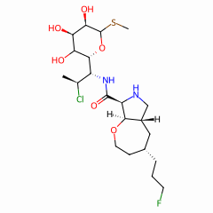 CSC1O[C@H]([C@H](NC(=O)[C@H]2NC[C@@H]3C[C@H](CCCF)CCO[C@H]32)[C@H](C)Cl)C(O)[C@@H](O)[C@H]1O